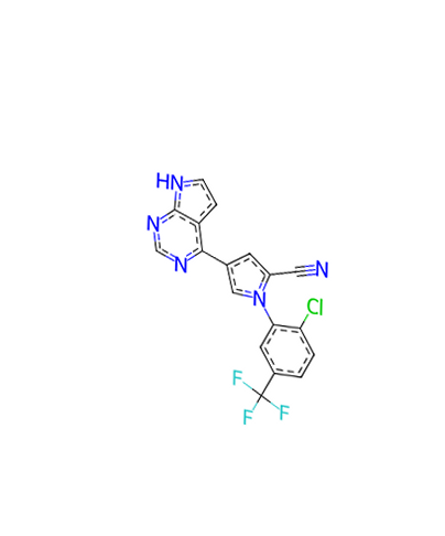 N#Cc1cc(-c2ncnc3[nH]ccc23)cn1-c1cc(C(F)(F)F)ccc1Cl